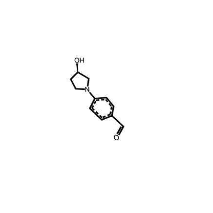 O=Cc1ccc(N2CC[C@@H](O)C2)cc1